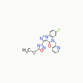 CC1CC1c1nc(-c2ncn3c2c(=O)n(Cc2ccccn2)c2cc(F)ccc23)no1